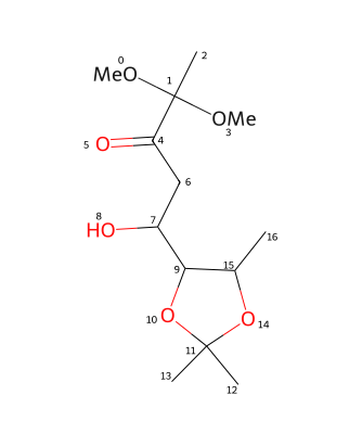 COC(C)(OC)C(=O)CC(O)C1OC(C)(C)OC1C